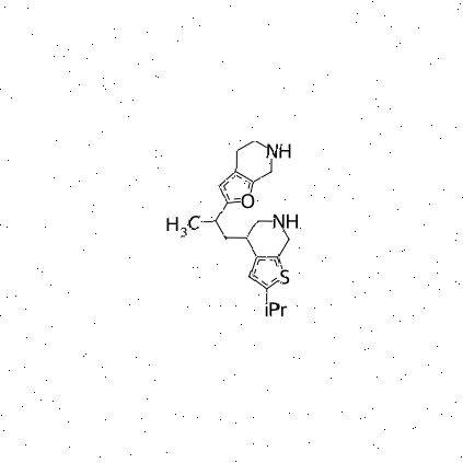 CC(C)c1cc2c(s1)CNCC2CC(C)c1cc2c(o1)CNCC2